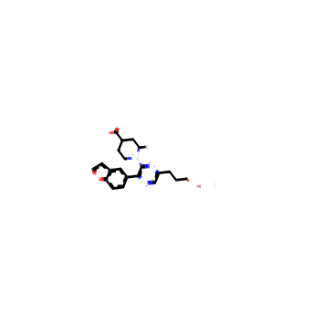 COCCCc1cnc(-c2ccc3occc3c2)c(N2CCC(C(=O)O)CC2C)n1